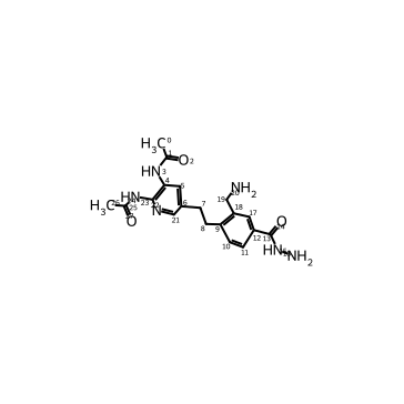 CC(=O)Nc1cc(CCc2ccc(C(=O)NN)cc2CN)cnc1NC(C)=O